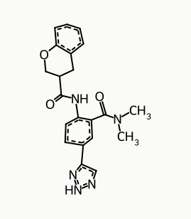 CN(C)C(=O)c1cc(-c2cn[nH]n2)ccc1NC(=O)C1COc2ccccc2C1